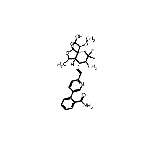 CO[C@H](C(=O)O)[C@@]12CC(F)(F)[C@@H](C)[C@H](/C=C/c3ccc(-c4ccccc4C(N)=O)cn3)[C@@H]1[C@@H](C)OC2=O